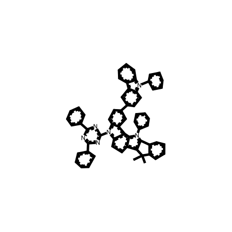 CC1(C)c2ccccc2-c2c1c1ccc3c(c4cc(-c5ccc6c(c5)c5ccccc5n6-c5ccccc5)ccc4n3-c3nc(-c4ccccc4)nc(-c4ccccc4)n3)c1n2-c1ccccc1